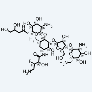 NC[C@@H](F)[C@H](O)C(=O)N[C@@H]1C[C@H](N)[C@@H](O[C@H]2O[C@H](CNCC(O)CO)[C@@H](O)[C@H](O)[C@H]2N)[C@H](O[C@@H]2O[C@H](CO)[C@@H](O[C@H]3O[C@@H](CN)[C@@H](O)[C@H](O)[C@H]3N)[C@H]2O)[C@H]1O